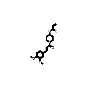 C=CC(=O)OC1CCN(C(=O)/C=C/c2ccc(OC)c(OC)c2)CC1